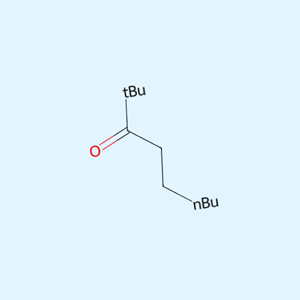 CCCCCCC(=O)C(C)(C)C